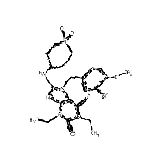 CCn1c(=O)c2c(nc(NC3CCS(=O)(=O)CC3)n2Cc2ccc(OC)c(Br)c2)n(CC)c1=O